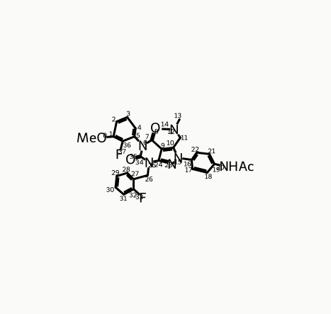 COc1cccc(-n2c(=O)c3c(CN(C)C)n(-c4ccc(NC(C)=O)cc4)nc3n(Cc3ccccc3F)c2=O)c1F